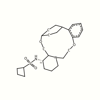 O=S(=O)(N[C@H]1CCCN2CCOc3ccccc3C3CCC(CC3)OCC12)C1CCC1